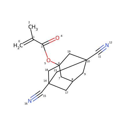 C=C(C)C(=O)OC12CC3CC(C#N)(CC(C#N)(C3)C1)C2